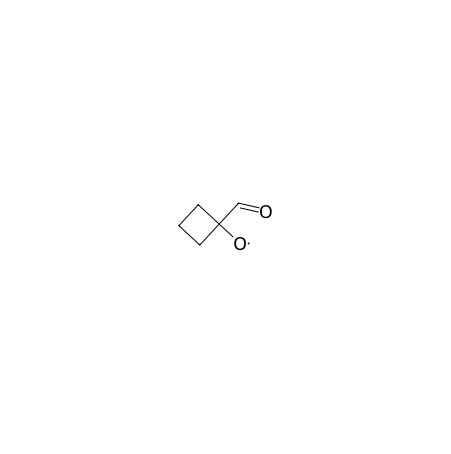 [O]C1(C=O)CCC1